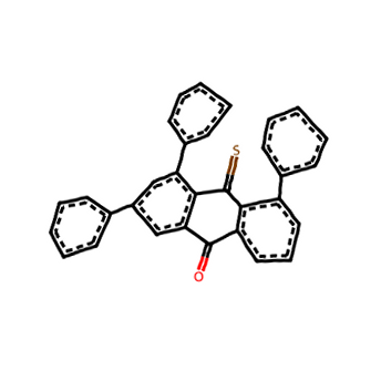 O=C1c2cccc(-c3ccccc3)c2C(=S)c2c1cc(-c1ccccc1)cc2-c1ccccc1